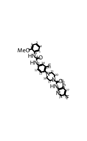 COc1ccccc1NC(=O)Nc1ccc(N2CCN(C(=O)Nc3ncc(F)cc3F)CC2)c(F)c1